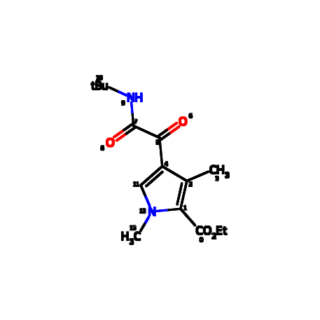 CCOC(=O)c1c(C)c(C(=O)C(=O)NC(C)(C)C)cn1C